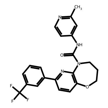 Cc1cc(NC(=O)N2CCCOc3ccc(-c4cccc(C(F)(F)F)c4)nc32)ccn1